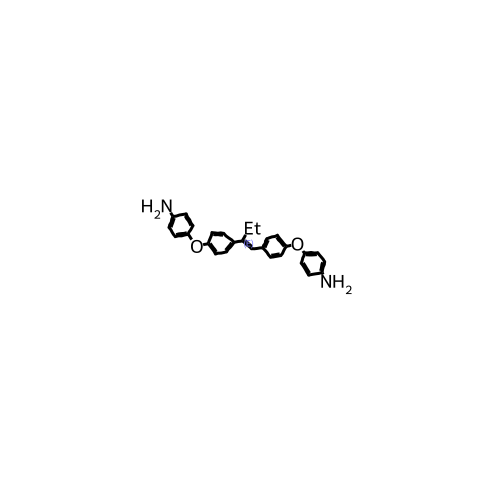 CC/C(=C\c1ccc(Oc2ccc(N)cc2)cc1)c1ccc(Oc2ccc(N)cc2)cc1